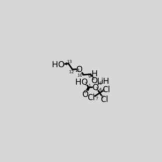 O=C(O)OC(Cl)(Cl)Cl.OCCOCCO.[LiH]